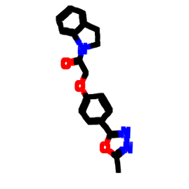 Cc1nnc(-c2ccc(OCC(=O)N3CCc4ccccc43)cc2)o1